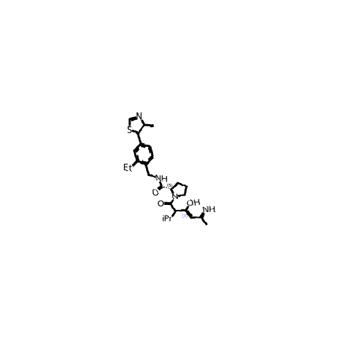 CCc1cc(C2SC=NC2C)ccc1CNC(=O)[C@@H]1CCCN1C(=O)C(/C(O)=C/C(C)=N)C(C)C